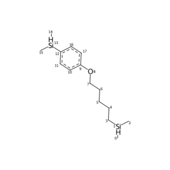 C[SiH](C)CCCCCOc1ccc([SiH](C)C)cc1